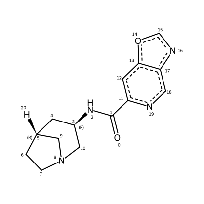 O=C(N[C@@H]1C[C@H]2CCN(C2)C1)c1cc2ocnc2cn1